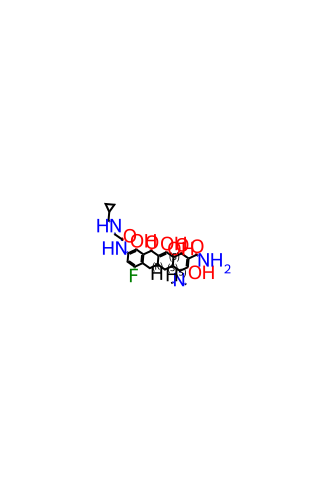 CN(C)[C@@H]1C(O)=C(C(N)=O)C(=O)[C@@]2(O)C(O)=C3C(=O)c4c(O)c(NC(=O)CNCC5CC5)cc(F)c4C[C@H]3C[C@@H]12